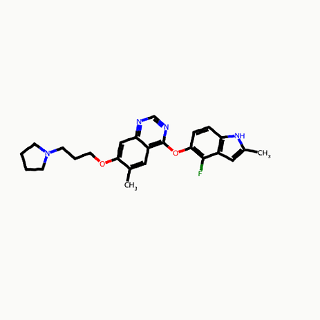 Cc1cc2c(F)c(Oc3ncnc4cc(OCCCN5CCCC5)c(C)cc34)ccc2[nH]1